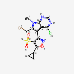 CC(C)n1c(CBr)c(-c2noc(C3CC3)c2S(C)(=O)=O)c2c(Cl)ncnc21